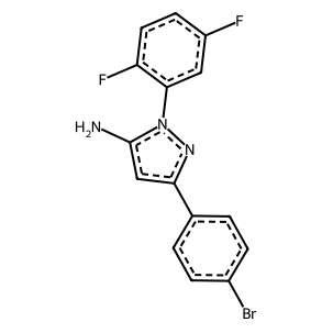 Nc1cc(-c2ccc(Br)cc2)nn1-c1cc(F)ccc1F